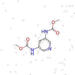 COC(=O)Nc1cncc(NC(=O)OC)c1